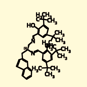 CC(C)(C)c1cc(C=NC[C@H](Cc2ccc3ccccc3c2)N=Cc2cc(C(C)(C)C)cc(C(C)(C)C)c2O)c(O)c(C(C)(C)C)c1